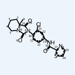 CC12CCCCN1C(=O)N(c1ccc(NC(=O)c3nccs3)cc1Cl)C2=O